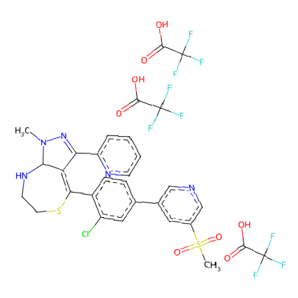 CN1N=C(c2ccccn2)C2=C(c3ccc(-c4cncc(S(C)(=O)=O)c4)cc3Cl)SCCNC21.O=C(O)C(F)(F)F.O=C(O)C(F)(F)F.O=C(O)C(F)(F)F